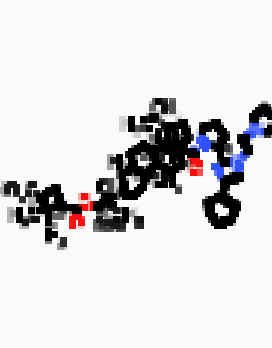 C=C(C)[C@@H]1CC[C@]2(C(=O)N3CCC[C@H]3c3nc(-c4ccccc4)cn3CCN3CCCC3)CC[C@]3(C)[C@H](CC[C@@H]4C[C@H](C(C)(C)[C@H](CCCC)OC(=O)[C@H]5C[C@@H](C(=O)O)C5(C)C)CC[C@]43C)[C@@H]12